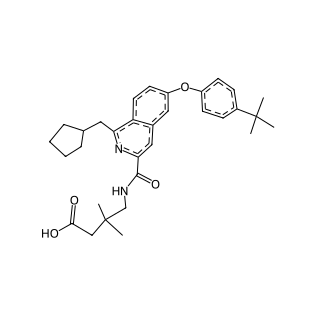 CC(C)(CNC(=O)c1cc2cc(Oc3ccc(C(C)(C)C)cc3)ccc2c(CC2CCCC2)n1)CC(=O)O